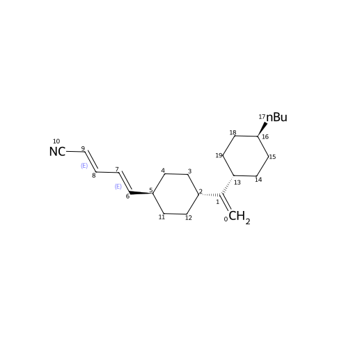 C=C([C@H]1CC[C@H](/C=C/C=C/C#N)CC1)[C@H]1CC[C@H](CCCC)CC1